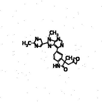 CCn1c(-c2cnc(C)nc2)nc2c(-c3ccc4c(c3)C(C)(CC3COC3)C(=O)N4)ncnc21